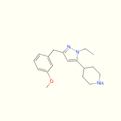 CCn1nc(Cc2cccc(OC)c2)cc1C1CCNCC1